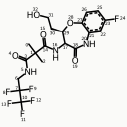 CC(C)(C(=O)NCC(F)(F)C(F)(F)F)C(=O)NC1C(=O)Nc2cc(F)ccc2O[C@@H]1CCO